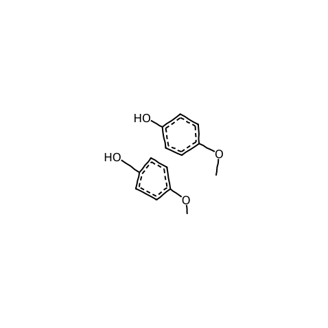 COc1ccc(O)cc1.COc1ccc(O)cc1